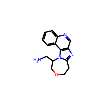 NCC1COCCc2nc3cnc4ccccc4c3n21